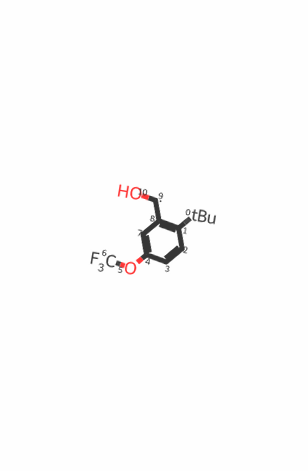 CC(C)(C)c1ccc(OC(F)(F)F)cc1[CH]O